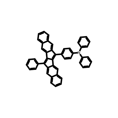 c1ccc(C2=C3C(=C(c4ccc(N(c5ccccc5)c5ccccc5)cc4)c4cc5ccccc5cc43)c3cc4ccccc4cc32)cc1